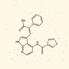 O=C(O)C(=Cc1c[nH]c2nccc(NC(=O)c3ccsc3)c12)c1ccccc1